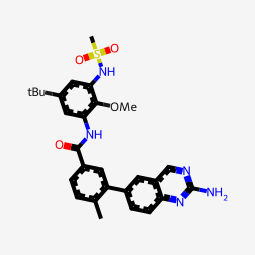 COc1c(NC(=O)c2ccc(C)c(-c3ccc4nc(N)ncc4c3)c2)cc(C(C)(C)C)cc1NS(C)(=O)=O